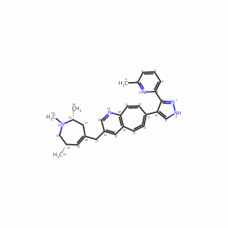 Cc1cccc(-c2n[nH]cc2C2=C=Cc3cc(CC4=C[C@H](C)CN(C)[C@H](C)C4)cnc3C=C2)n1